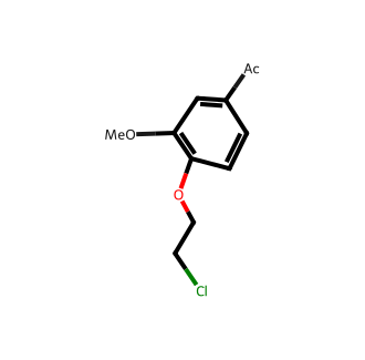 COc1cc(C(C)=O)ccc1OCCCl